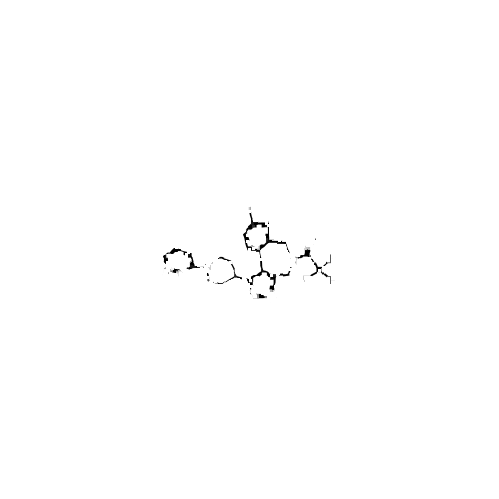 O=C(N1Cc2cc(Cl)ccc2-c2c(C3CCN(c4cccnn4)CC3)noc2C1)C(F)(F)F